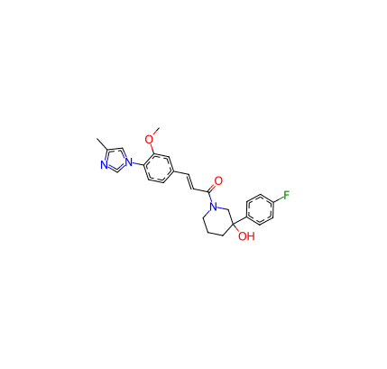 COc1cc(C=CC(=O)N2CCCC(O)(c3ccc(F)cc3)C2)ccc1-n1cnc(C)c1